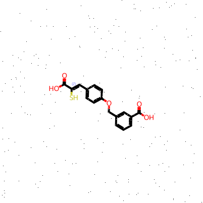 O=C(O)/C(S)=C/c1ccc(OCc2cccc(C(=O)O)c2)cc1